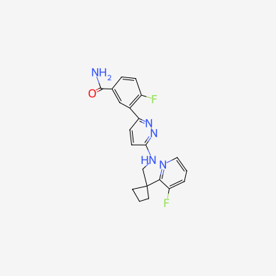 NC(=O)c1ccc(F)c(-c2ccc(NCC3(c4ncccc4F)CCC3)nn2)c1